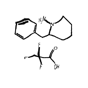 NN1CCCCC1Cc1ccccc1.O=C(O)C(F)(F)F